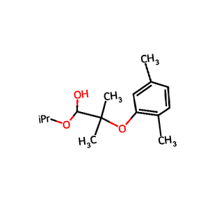 Cc1ccc(C)c(OC(C)(C)C(O)OC(C)C)c1